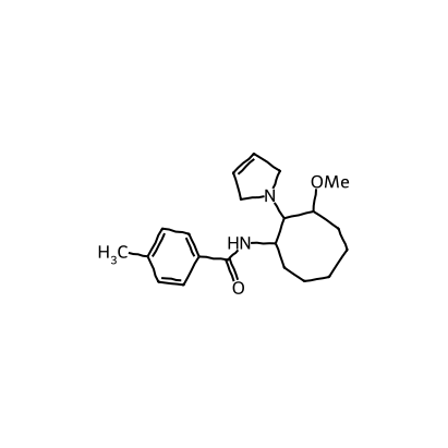 COC1CCCCCC(NC(=O)c2ccc(C)cc2)C1N1CC=CC1